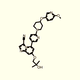 COc1ccc(OC2CCN(c3ccc(-c4cc(OCC(C)(C)O)cc5ncc(C#N)n45)cn3)CC2)cn1